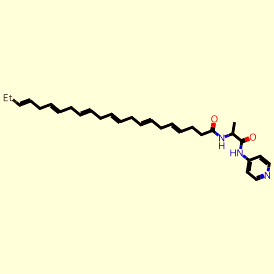 CCC=CCC=CCC=CCC=CCC=CCC=CCCC(=O)NC(C)C(=O)Nc1ccncc1